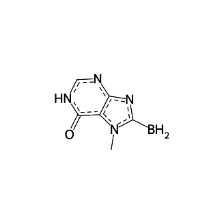 Bc1nc2nc[nH]c(=O)c2n1C